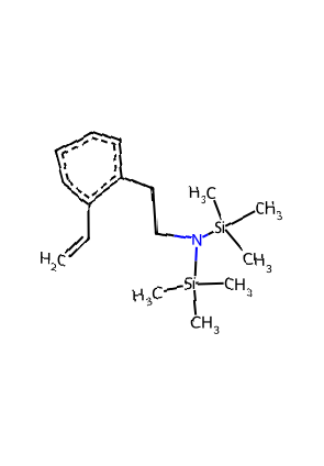 C=Cc1ccccc1CCN([Si](C)(C)C)[Si](C)(C)C